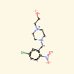 O=[N+]([O-])c1ccc(Cl)cc1CN1CCN(CCO)CC1